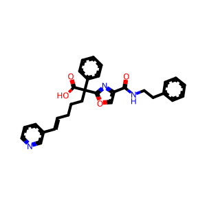 O=C(NCCc1ccccc1)c1coc(C(CCCC=Cc2cccnc2)(C(=O)O)c2ccccc2)n1